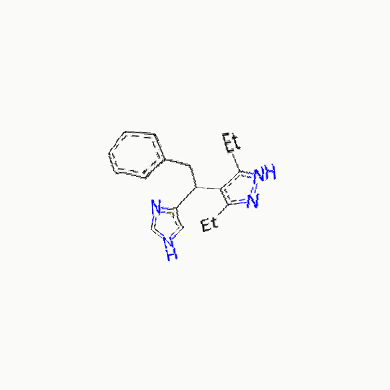 CCc1n[nH]c(CC)c1C(Cc1ccccc1)c1c[nH]cn1